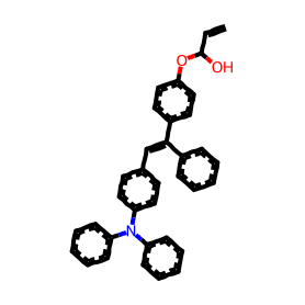 C=CC(O)Oc1ccc(C(=Cc2ccc(N(c3ccccc3)c3ccccc3)cc2)c2ccccc2)cc1